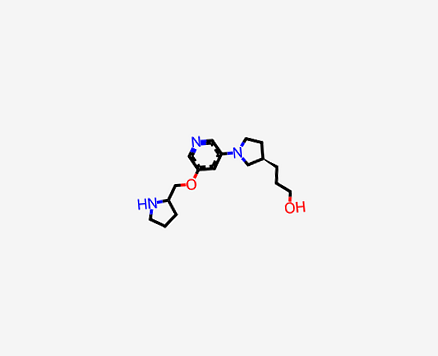 OCCC[C@@H]1CCN(c2cncc(OCC3CCCN3)c2)C1